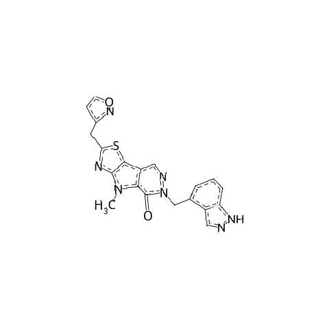 Cn1c2nc(Cc3ccon3)sc2c2cnn(Cc3cccc4[nH]ncc34)c(=O)c21